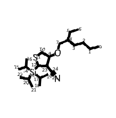 CCCCC(CC)COC1CSC([Si](C(C)C)(C(C)C)C(C)C)C1C#N